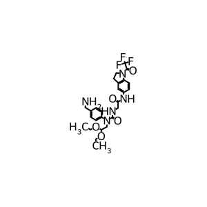 CCOC(CN(C(=O)NCC(=O)Nc1ccc2c(c1)CCN2C(=O)C(F)(F)F)c1ccc(CN)cc1)OCC